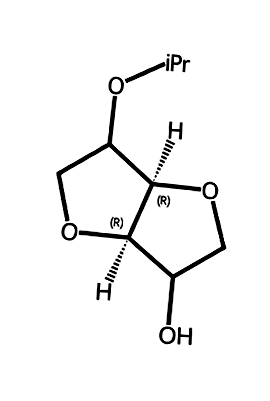 CC(C)OC1CO[C@@H]2C(O)CO[C@H]12